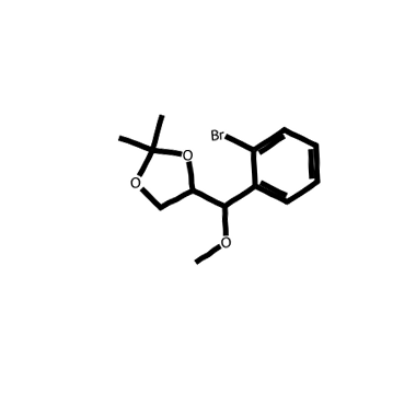 COC(c1ccccc1Br)C1COC(C)(C)O1